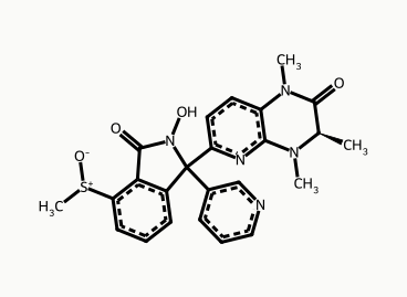 C[C@@H]1C(=O)N(C)c2ccc(C3(c4cccnc4)c4cccc([S+](C)[O-])c4C(=O)N3O)nc2N1C